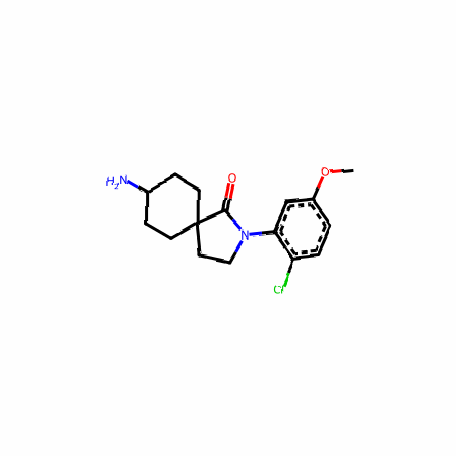 COc1ccc(Cl)c(N2CCC3(CCC(N)CC3)C2=O)c1